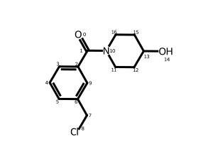 O=C(c1cccc(CCl)c1)N1CCC(O)CC1